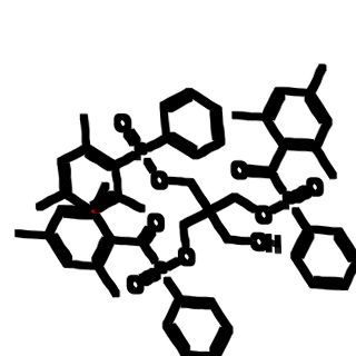 Cc1cc(C)c(C(=O)P(=O)(OCC(CO)(COP(=O)(C(=O)c2c(C)cc(C)cc2C)c2ccccc2)COP(=O)(c2ccccc2)c2c(C)cc(C)cc2C)c2ccccc2)c(C)c1